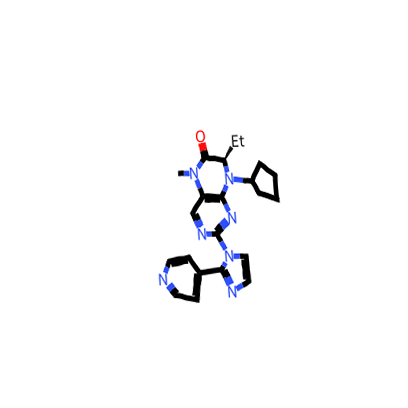 CC[C@@H]1C(=O)N(C)c2cnc(-n3ccnc3-c3ccncc3)nc2N1C1CCCC1